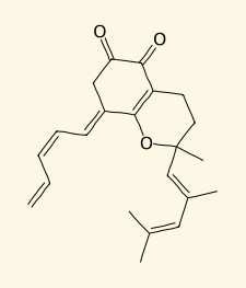 C=C/C=C\C=C1/CC(=O)C(=O)C2=C1OC(C)(/C=C(\C)C=C(C)C)CC2